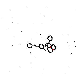 Cc1cc(C=Cc2ccccc2)ccc1N(C=C(c1ccccc1)c1ccccc1)c1ccccc1